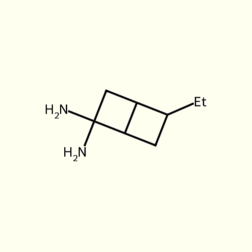 CCC1CC2C1CC2(N)N